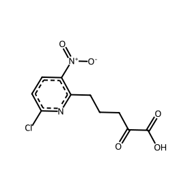 O=C(O)C(=O)CCCc1nc(Cl)ccc1[N+](=O)[O-]